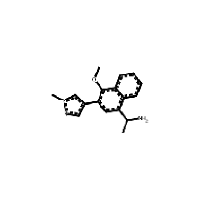 COc1c(-c2cnn(C)c2)cc(C(C)N)c2ccccc12